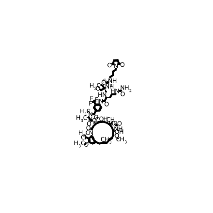 COc1cc2cc(c1Cl)N(C)C(=O)C[C@H](OC(=O)[C@H](C)N(C)C(=O)c1ccc(NC(=O)[C@H](CCCNC(N)=O)NC[C@](C=O)(NC(=S)NCCCCN3C(=O)C=CC3=O)C(C)C)c(C(F)(F)F)c1)[C@]1(C)O[C@H]1[C@H](C)[C@@H]1C[C@@](O)(NC(=O)O1)[C@H](OC)/C=C/C=C(\C)C2